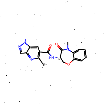 CC(C)c1nc2cn[nH]c2cc1C(=O)N[C@H]1COc2ccccc2N(C)C1=O